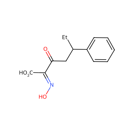 CCC(CC(=O)C(=NO)C(=O)O)c1ccccc1